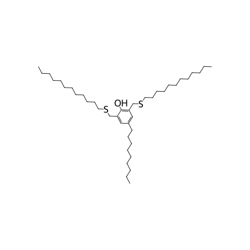 CCCCCCCCCCCCSCc1cc(CCCCCCCCC)cc(CSCCCCCCCCCCCC)c1O